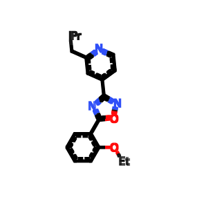 CCOc1ccccc1-c1nc(-c2ccnc(CC(C)C)c2)no1